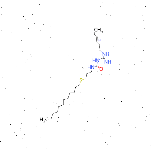 CC/C=C/CCNC(=N)NC(=O)NCCCSCCCCCCCCCCCC